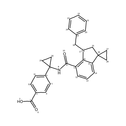 O=C(O)c1ccc(C2(NC(=O)c3cccc4c3N(Cc3ccccc3)CC43CC3)CC2)cc1